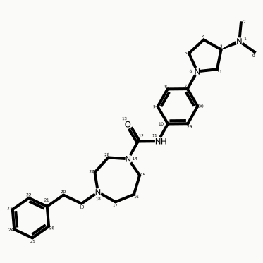 CN(C)[C@@H]1CCN(c2ccc(NC(=O)N3CCCN(CCc4ccccc4)CC3)cc2)C1